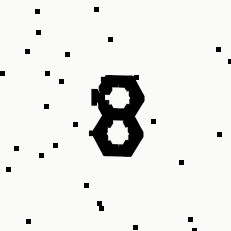 [c]1ccc2ccc[c]c2n1